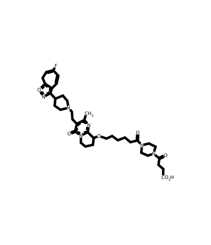 Cc1nc2n(c(=O)c1CCN1CCC(c3noc4c3C=CC(F)=CC4)CC1)CCCC2OCCCCCC(=O)N1CCN(C(=O)CCC(=O)O)CC1